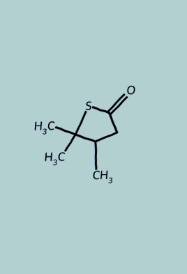 CC1CC(=O)SC1(C)C